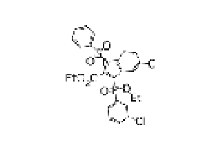 CCOC(=O)c1c(P(=O)(OCC)c2cccc(Cl)c2)c2cc(Cl)ccc2n1S(=O)(=O)c1ccccc1